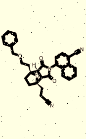 N#CCC[C@@]12CC[C@@](CCOCc3ccccc3)(O1)[C@H]1C(=O)N(c3ccc(C#N)c4ccccc34)C(=O)C12